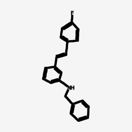 Fc1ccc(/C=C/c2cccc(NCc3ccccc3)c2)cc1